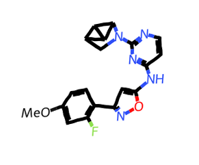 COc1ccc(-c2cc(Nc3ccnc(N4CC5C6C5C64)n3)on2)c(F)c1